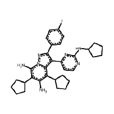 Nc1c(C2CCCC2)c(N)n2nc(-c3ccc(F)cc3)c(-c3ccnc(NC4CCCC4)n3)c2c1C1CCCC1